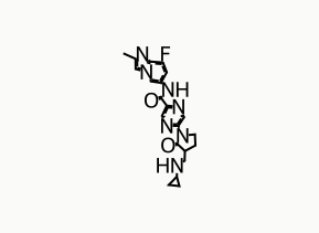 Cc1cn2cc(NC(=O)c3cnc(N4CCC(CNC5CC5)C4=O)cn3)cc(F)c2n1